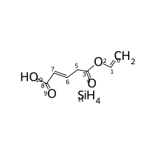 C=COC(=O)CC=CC(=O)O.[SiH4]